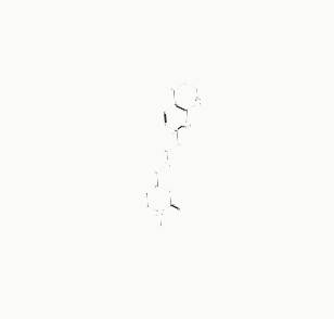 O=C(O)CN1CCC(CNCCc2ccc3c(n2)NCCC3)CC1=O